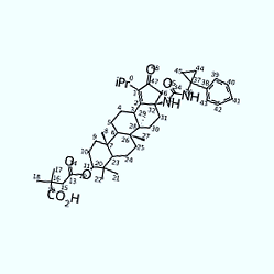 CC(C)C1=C2C3CCC4[C@@]5(C)CC[C@H](OC(=O)CC(C)(C)C(=O)O)C(C)(C)C5CC[C@@]4(C)[C@]3(C)CC[C@@]2(NC(=O)NC2(c3ccccc3)CC2)CC1=O